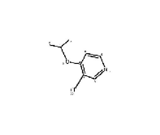 CC(C)Oc1ccncc1Cl